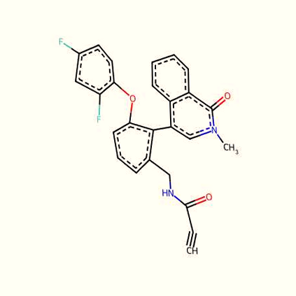 C#CC(=O)NCc1cccc(Oc2ccc(F)cc2F)c1-c1cn(C)c(=O)c2ccccc12